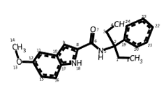 CCC(CC)(NC(=O)c1cc2cc(OC)ccc2[nH]1)c1ccccc1